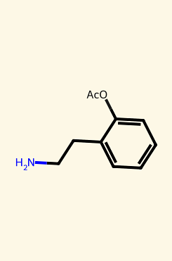 CC(=O)Oc1ccccc1CCN